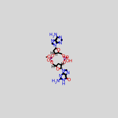 COP1(=O)OC[C@@H]2C[C@@H](OP(=O)(O)OCC3O[C@@H](n4cnc5c(N)ncnc54)C[C@@H]3O1)[C@H](n1cnc3c(=O)[nH]c(N)nc31)O2